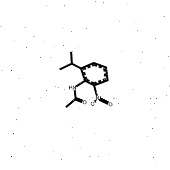 CC(=O)Nc1c(C(C)C)cccc1[N+](=O)[O-]